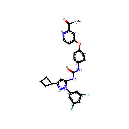 CNC(=O)c1cc(Oc2ccc(NC(=O)Nc3cc(C4CCC4)nn3-c3cc(F)cc(F)c3)cc2)ccn1